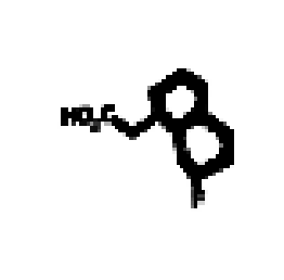 O=C(O)Cc1cccc2ccc(F)cc12